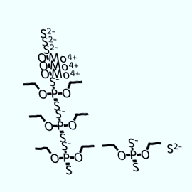 CCOP(=S)([S-])OCC.CCOP(=S)([S-])OCC.CCOP(=S)([S-])OCC.CCOP(=S)([S-])OCC.[O]=[Mo+4].[O]=[Mo+4].[O]=[Mo+4].[S-2].[S-2].[S-2].[S-2]